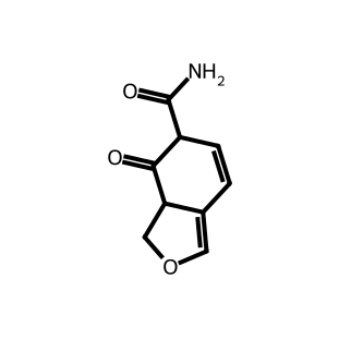 NC(=O)C1C=CC2=COCC2C1=O